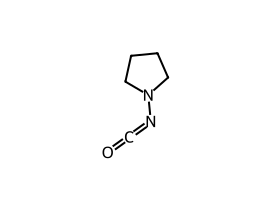 O=C=NN1CCCC1